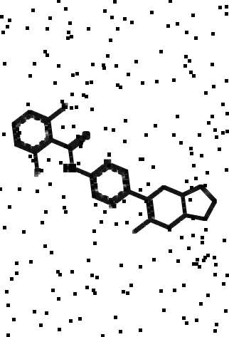 CC1=C(c2cnc(NC(=O)c3c(F)cccc3F)cn2)CC2CCCC2C1